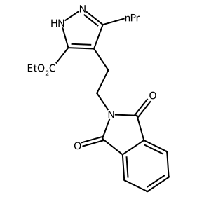 CCCc1n[nH]c(C(=O)OCC)c1CCN1C(=O)c2ccccc2C1=O